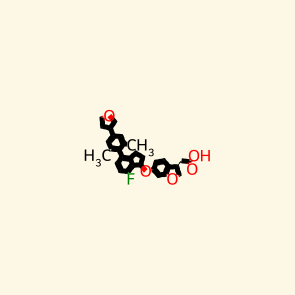 Cc1cc(C2CCOC2)cc(C)c1-c1ccc(F)c2c1CCC2Oc1ccc2c(c1)OC[C@H]2CC(=O)O